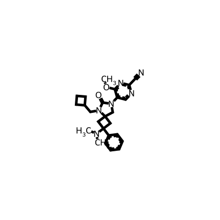 COc1nc(C#N)ncc1N1CC2(CC(c3ccccc3)(N(C)C)C2)N(CC2CCC2)C1=O